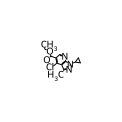 CCOC(=O)c1cnc2c(c(C)nn2C2CC2)c1Cl